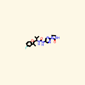 Cc1c([C@H](NC(=O)Nc2cnc(N3CCNC3=O)nc2)C(C)C)oc2ccc(F)cc12